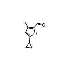 Cc1cc(C2CC2)oc1C=O